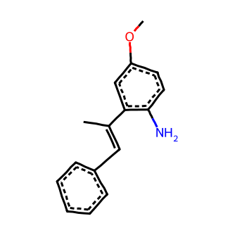 COc1ccc(N)c(C(C)=Cc2ccccc2)c1